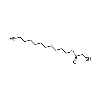 O=C(CS)OCCCCCCCCCCS